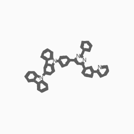 c1ccc(-c2nc(-c3ccc(-n4c5ccccc5c5cc(-n6c7ccccc7c7ccccc76)ccc54)cc3)cc(-c3cccc(-c4ccccn4)c3)n2)cc1